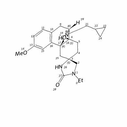 CCN1C[C@@]2(CC[C@@]3(O)[C@H]4Cc5ccc(OC)cc5[C@@]3(CCN4CC3CC3)C2)NC1=O